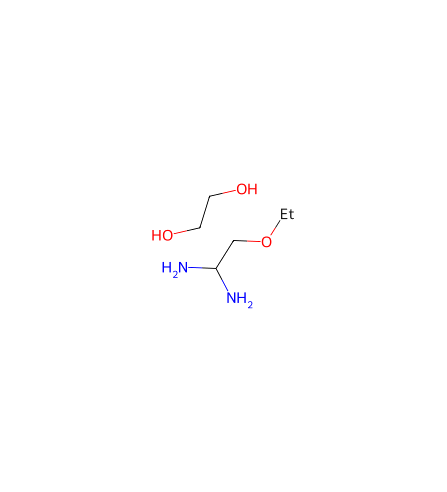 CCOCC(N)N.OCCO